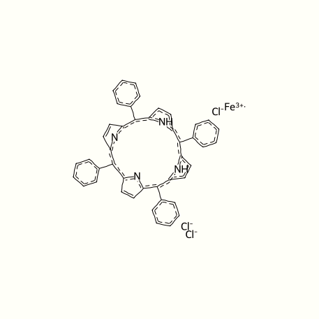 C1=Cc2nc1c(-c1ccccc1)c1nc(c(-c3ccccc3)c3ccc([nH]3)c(-c3ccccc3)c3ccc([nH]3)c2-c2ccccc2)C=C1.[Cl-].[Cl-].[Cl-].[Fe+3]